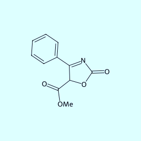 COC(=O)C1OC(=O)N=C1c1ccccc1